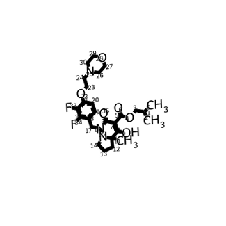 CC(C)COC(=O)C1=C(O)C2(C)CCCN2N(Cc2ccc(OCCN3CCOCC3)c(F)c2F)C1=O